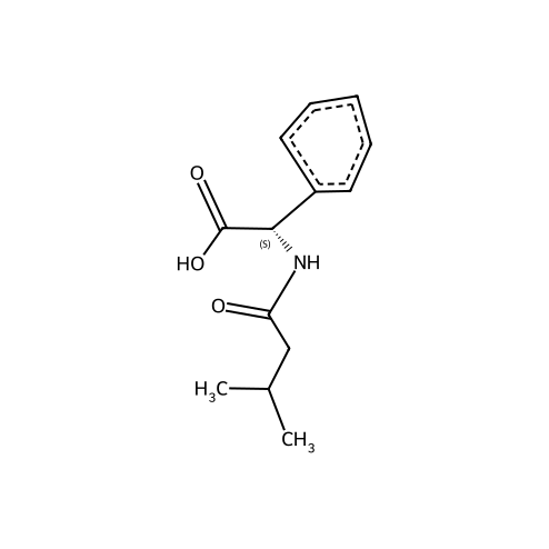 CC(C)CC(=O)N[C@H](C(=O)O)c1ccccc1